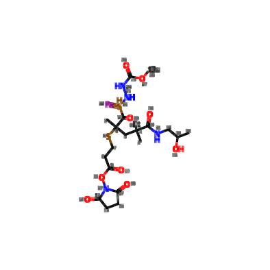 CCC(C)(CC(C)(SCCC(=O)ON1C(=O)CCC1=O)C(=O)[SH](#P)NNC(=O)OC(C)(C)C)C(=O)NCC(C)O